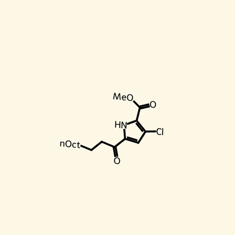 CCCCCCCCCCC(=O)c1cc(Cl)c(C(=O)OC)[nH]1